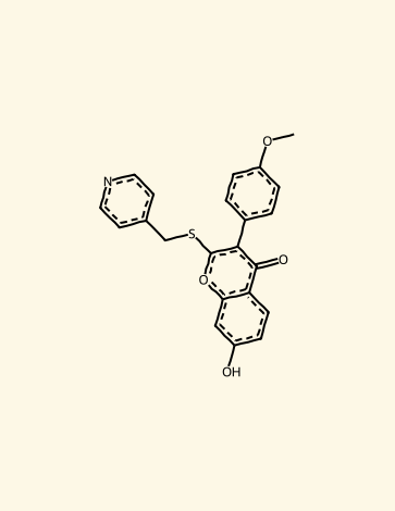 COc1ccc(-c2c(SCc3ccncc3)oc3cc(O)ccc3c2=O)cc1